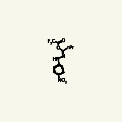 CCCC(=NNc1ccc([N+](=O)[O-])cc1)OC(=O)C(F)(F)F